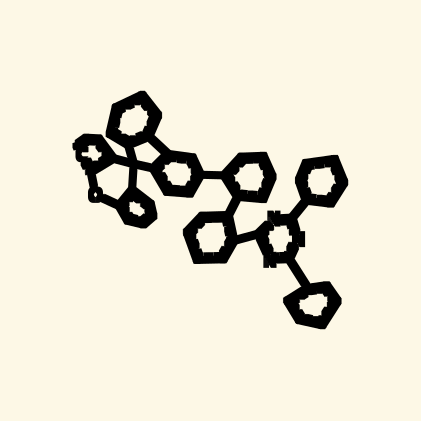 c1ccc(-c2nc(-c3ccccc3)nc(-c3ccccc3-c3ccccc3-c3ccc4c(c3)-c3ccccc3C43c4ccccc4Oc4ccccc43)n2)cc1